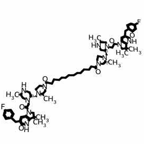 C[C@@H]1CN(CC(=O)N2CC(C)(C)c3[nH]c(=O)c(Cc4ccc(F)cc4)cc32)[C@@H](CN2CCN(C(=O)CCCCCCCCCCCCC(=O)N3CCN(C[C@H]4CN[C@H](C)CN4CC(=O)N4CC(C)(C)c5[nH]c(=O)c(Cc6ccc(F)cc6)cc54)[C@H](C)C3)C[C@H]2C)CN1